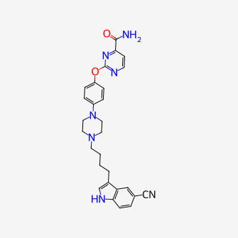 N#Cc1ccc2[nH]cc(CCCCN3CCN(c4ccc(Oc5nccc(C(N)=O)n5)cc4)CC3)c2c1